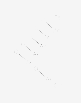 CC(=O)[O-].CC(=O)[O-].CC(=O)[O-].CC(=O)[O-].CC(=O)[O-].CC(=O)[O-].[Cr+3].[Fe+3]